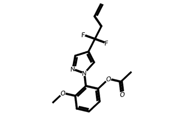 C=CCC(F)(F)c1cnn(-c2c(OC)cccc2OC(C)=O)c1